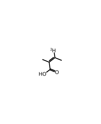 [2H]C(C)=C(C)C(=O)O